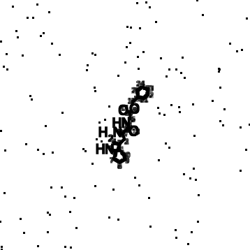 N[C@@H](Cc1c[nH]c2ccccc12)C(=O)NCC(=O)OCc1ccccc1